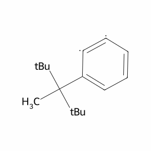 CC(C)(C)C(C)(c1[c][c]ccc1)C(C)(C)C